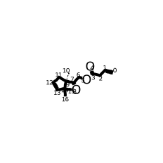 C=CCC(=O)OCC(=O)[C@]1(C)CC=CC1(C)C